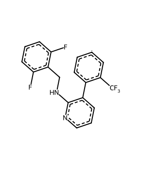 Fc1cccc(F)c1CNc1ncccc1-c1cc[c]cc1C(F)(F)F